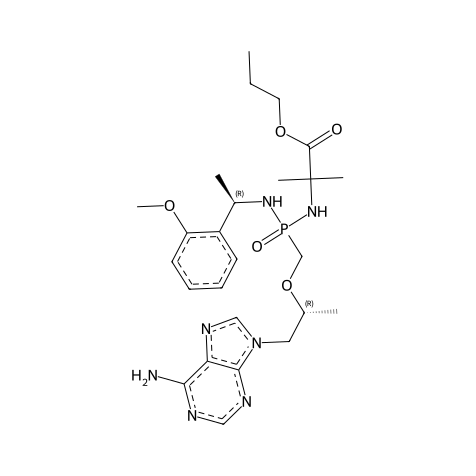 CCCOC(=O)C(C)(C)NP(=O)(CO[C@H](C)Cn1cnc2c(N)ncnc21)N[C@H](C)c1ccccc1OC